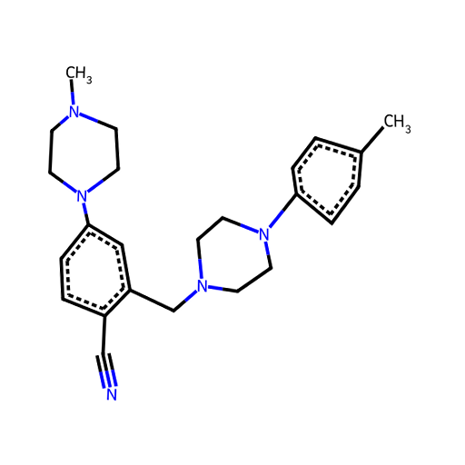 Cc1ccc(N2CCN(Cc3cc(N4CCN(C)CC4)ccc3C#N)CC2)cc1